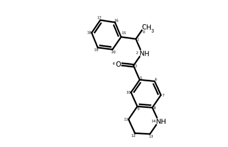 CC(NC(=O)c1ccc2c(c1)CCCN2)c1ccccc1